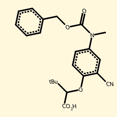 CN(C(=O)OCc1ccccc1)c1ccc(OC(C(=O)O)C(C)(C)C)c(C#N)c1